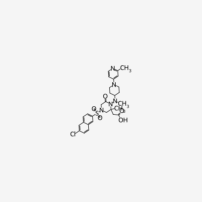 Cc1cc(N2CCC(N(C)N3C(=O)CN(S(=O)(=O)c4ccc5cc(Cl)ccc5c4)CC3(C)CC(=O)O)CC2)ccn1